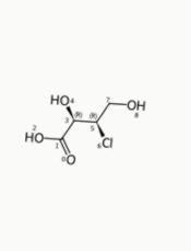 O=C(O)[C@@H](O)[C@H](Cl)CO